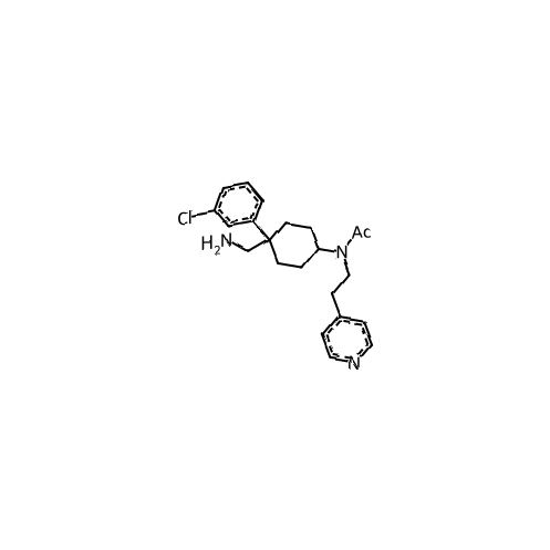 CC(=O)N(CCc1ccncc1)C1CCC(CN)(c2cccc(Cl)c2)CC1